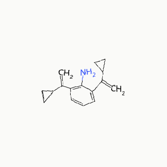 C=C(c1cccc(C(=C)C2CC2)c1N)C1CC1